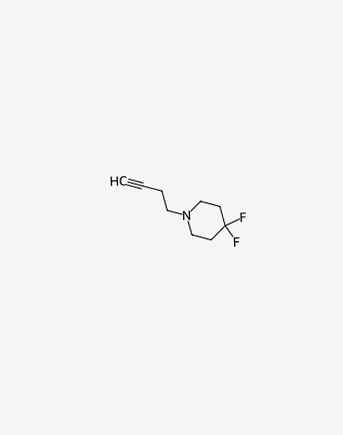 C#CCCN1CCC(F)(F)CC1